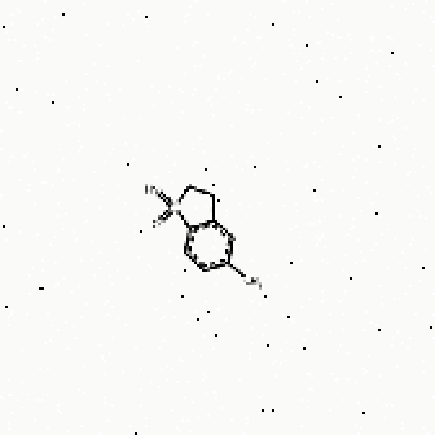 Cc1ccc2c(c1)CCS2(=N)=O